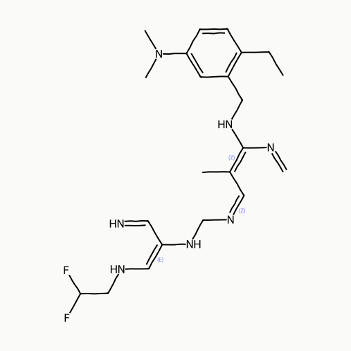 C=N/C(NCc1cc(N(C)C)ccc1CC)=C(C)\C=N/CN/C(C=N)=C/NCC(F)F